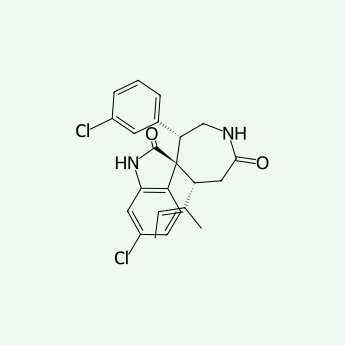 CC=C(C)[C@H]1CC(=O)NC[C@@H](c2cccc(Cl)c2)[C@]12C(=O)Nc1cc(Cl)ccc12